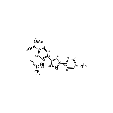 COC(=O)c1ccc(-c2nc(-c3ccc(C(F)(F)F)cc3)no2)c(NC(=O)C(F)(F)F)c1